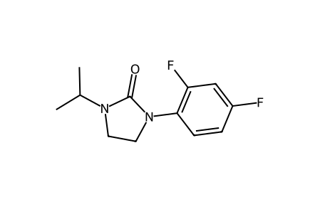 CC(C)N1CCN(c2ccc(F)cc2F)C1=O